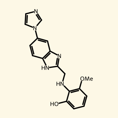 COc1cccc(O)c1NCc1nc2cc(-n3ccnc3)ccc2[nH]1